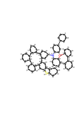 c1ccc(-c2ccc(N(c3ccc4c5ccccc5c5ccccc5c5ccccc5c5cc6sc7ccccc7c6cc5c4c3)c3cccc4c3Oc3ccccc3-c3ccccc3-4)cc2)cc1